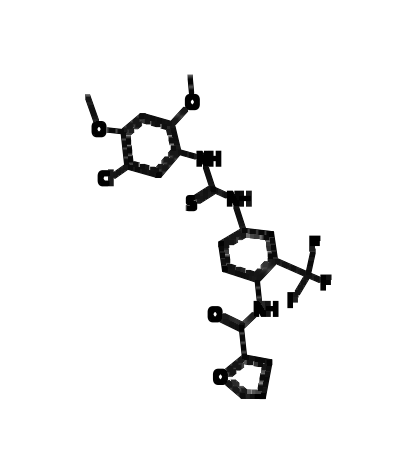 COc1cc(OC)c(NC(=S)Nc2ccc(NC(=O)c3ccco3)c(C(F)(F)F)c2)cc1Cl